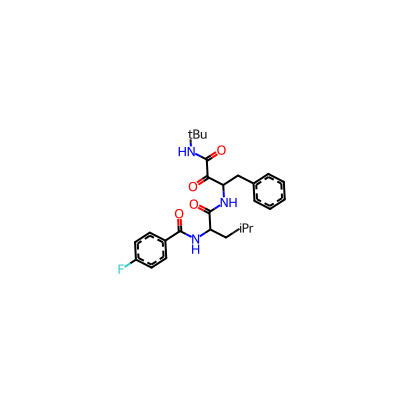 CC(C)CC(NC(=O)c1ccc(F)cc1)C(=O)NC(Cc1ccccc1)C(=O)C(=O)NC(C)(C)C